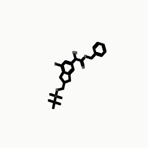 CC(C)(C)[Si](C)(C)OCC1Cc2cc(C(O)C(=O)OCc3ccccc3)cc(F)c2C1